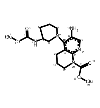 CC(C)(C)OC(=O)N[C@H]1CCCN(c2c(N)cnc3c2CCCN3C(=O)OC(C)(C)C)C1